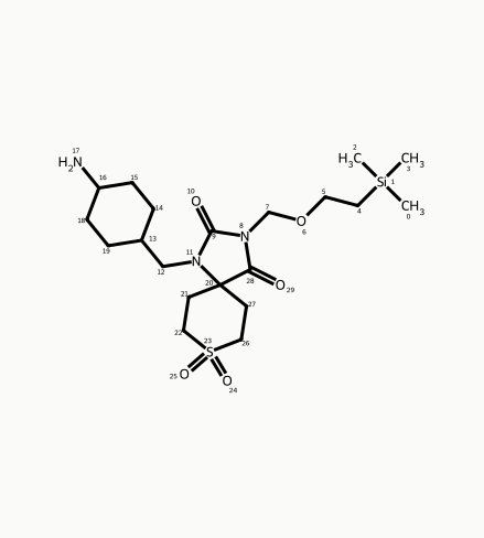 C[Si](C)(C)CCOCN1C(=O)N(CC2CCC(N)CC2)C2(CCS(=O)(=O)CC2)C1=O